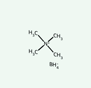 C[N+](C)(C)C.[BH4-]